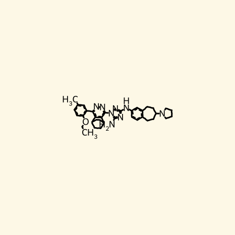 CCOc1ccc(C)cc1-c1nnc(-n2nc(Nc3ccc4c(c3)CCC(N3CCCC3)CC4)nc2N)c2c1C1CCC2CC1